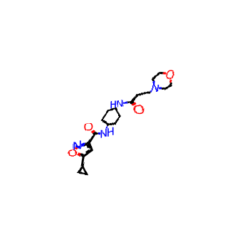 O=C(CCN1CCOCC1)N[C@H]1CC[C@H](NC(=O)c2cc(C3CC3)on2)CC1